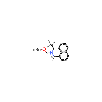 CCCCOCN(C[Si](C)(C)C)[C@@H](C)c1cccc2ccccc12